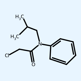 CC(C)CN(C(=O)CCl)c1ccccc1